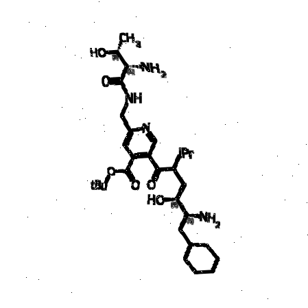 CC(C)C(C[C@H](O)[C@@H](N)CC1CCCCC1)C(=O)c1cnc(CNC(=O)[C@@H](N)[C@@H](C)O)cc1C(=O)OC(C)(C)C